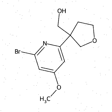 COc1cc(Br)nc(C2(CO)CCOC2)c1